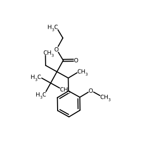 CCOC(=O)C(CC)(C(C)c1ccccc1OC)C(C)(C)C